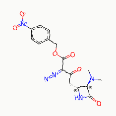 CN(C)[C@H]1C(=O)N[C@@H]1CC(=O)C(=[N+]=[N-])C(=O)OCc1ccc([N+](=O)[O-])cc1